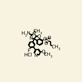 CCCS(=O)(=O)Oc1cccc(C2(c3ccc(F)c(-c4cncc(OC)c4)c3)N=C(N)N(C)C2=O)c1.Cl